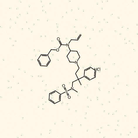 C=CCN(C(=O)OCc1ccccc1)C1CCN(CCC(C)(CN(C)S(=O)(=O)c2ccccc2)c2ccccc2)CC1.Cl